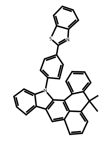 CC1(C)c2ccccc2-c2c3c1cccc3cc1c3ccccc3n(-c3ccc(-c4nc5ccccc5s4)cc3)c21